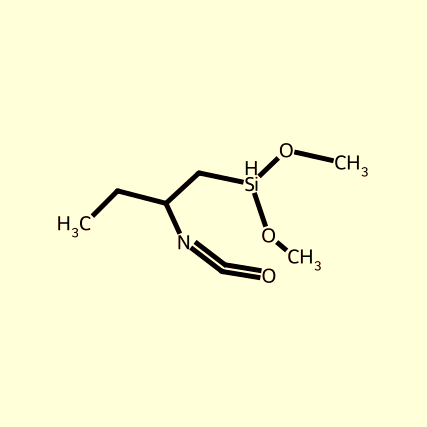 CCC(C[SiH](OC)OC)N=C=O